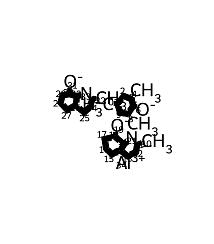 Cc1cc(C)c([O-])c(C)c1.Cc1ccc2cccc([O-])c2n1.Cc1ccc2cccc([O-])c2n1.[Al+3]